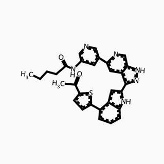 CCCCC(=O)Nc1cncc(-c2cc3c(-c4cc5c(-c6ccc(C(C)=O)s6)cccc5[nH]4)n[nH]c3cn2)c1